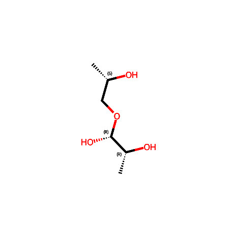 C[C@H](O)CO[C@@H](O)[C@@H](C)O